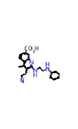 C=c1/c(=C\C=N/C)c(NCCNc2ccccc2)nc2cc(C(=O)O)c#cc12